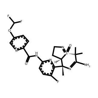 CC1(C)C(N)=N[C@](C)(c2nc(NC(=O)c3ccc(OC(F)F)cn3)ccc2F)[C@H]2CCN=[S@@]21=O